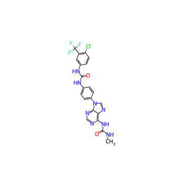 CNC(=O)Nc1ncnc2c1ncn2-c1ccc(NC(=O)Nc2ccc(Cl)c(C(F)(F)F)c2)cc1